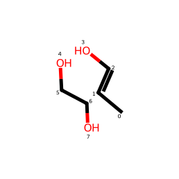 CC=CO.OCCO